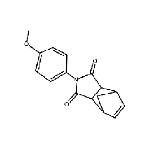 COc1ccc(N2C(=O)C3C4C=CC(C4)C3C2=O)cc1